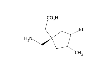 CC[C@H]1C[C@@](CN)(CC(=O)O)C[C@H]1C